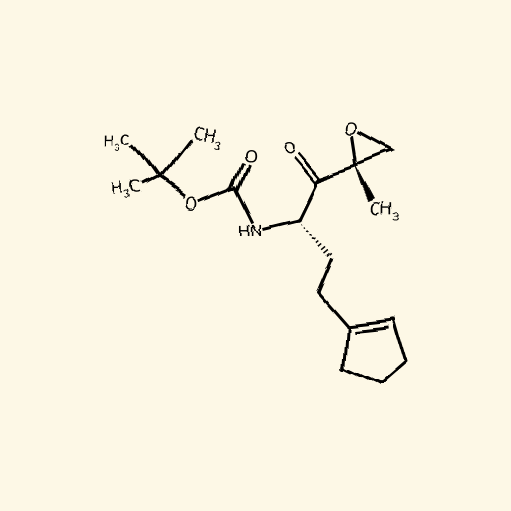 CC(C)(C)OC(=O)N[C@@H](CCC1=CCCC1)C(=O)[C@@]1(C)CO1